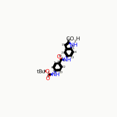 CC(C)(C)OC(=O)Nc1ccc(C(=O)Nc2ccc3[nH]c(C(=O)O)cc3c2)cc1